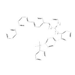 CC1(C)c2ccccc2-c2cc3c4ccccc4n(-c4nccc(-c5ccc(-c6cccc(-c7ccccc7)c6)cc5)n4)c3cc21